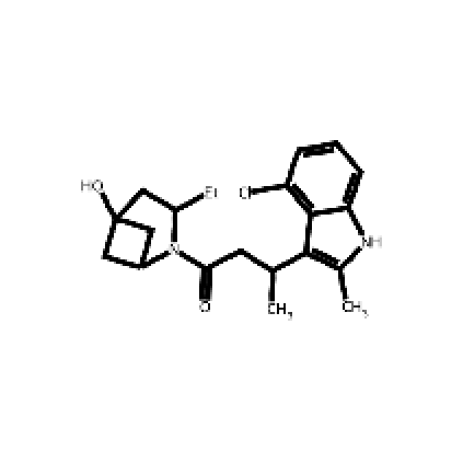 CCC1CC2(O)CC(C2)N1C(=O)CC(C)c1c(C)[nH]c2cccc(Cl)c12